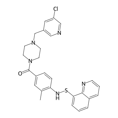 Cc1cc(C(=O)N2CCN(Cc3cncc(Cl)c3)CC2)ccc1NSc1cccc2cccnc12